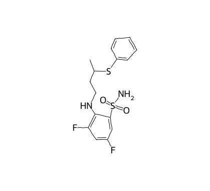 CC(CCNc1c(F)cc(F)cc1S(N)(=O)=O)Sc1ccccc1